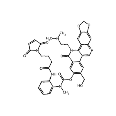 CN(C)CCn1c(=O)c2cc(OC(=O)N(C)c3ccccc3NC(=O)CCCN3C(=O)C=CC3=O)c(CO)cc2c2cnc3cc4c(cc3c21)OCO4